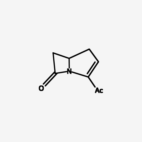 CC(=O)C1=CCC2CC(=O)N12